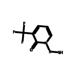 O=c1c(C(F)(F)F)cccn1SS